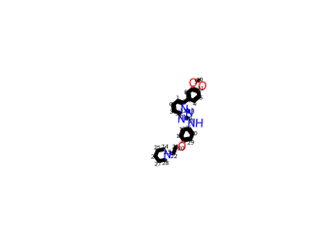 c1cc(-c2ccc3c(c2)OCO3)n2nc(Nc3ccc(OCCN4CCCCC4)cc3)nc2c1